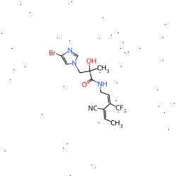 C/C=C(C#N)\C(=C/CNC(=O)C(C)(O)Cn1cnc(Br)c1)C(F)(F)F